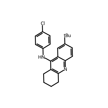 CC(C)(C)c1ccc2nc3c(c(Nc4ccc(Cl)cc4)c2c1)CCCC3